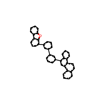 c1cc(-c2cccc(-c3cccc4c3oc3ccccc34)c2)cc(-c2cc3c4ccccc4ccc3c3ccccc23)c1